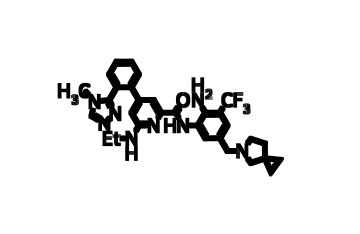 CCNc1cc(-c2ccccc2-c2nncn2C)cc(C(=O)Nc2cc(CN3CCC4(CC4)C3)cc(C(F)(F)F)c2N)n1